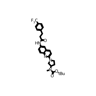 CN(C(=O)OC(C)(C)C)C1CCN(c2ccc3cc(NC(=O)CCc4ccc(C(F)(F)F)cc4)ccc3n2)C1